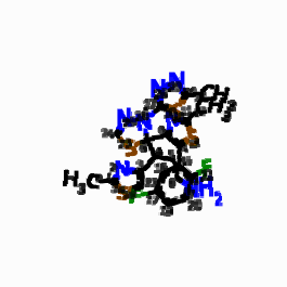 Cc1nc(C(CCN)C2(c3nc(C)sc3-c3cc(F)ccc3F)SC=NN2c2nnc(C)s2)cs1